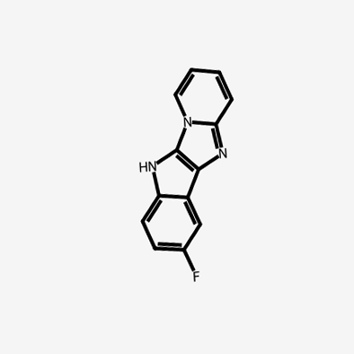 Fc1ccc2[nH]c3c(nc4ccccn43)c2c1